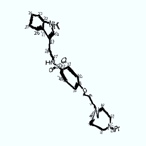 CC(C)N1CCN(CCCOc2ccc(S(=O)(=O)NCCc3c[nH]c4ccccc34)cc2)CC1